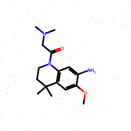 COc1cc2c(cc1N)N(C(=O)CN(C)C)CCC2(C)C